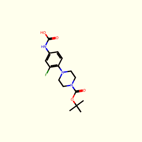 CC(C)(C)OC(=O)N1CCN(c2ccc(NC(=O)O)cc2F)CC1